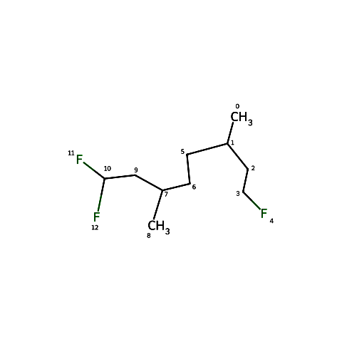 CC(CCF)CCC(C)CC(F)F